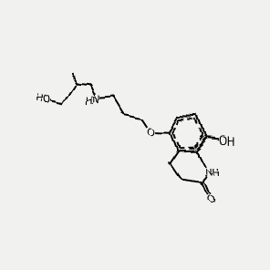 CC(CO)CNCCCOc1ccc(O)c2c1CCC(=O)N2